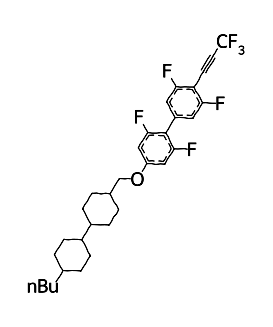 CCCCC1CCC(C2CCC(COc3cc(F)c(-c4cc(F)c(C#CC(F)(F)F)c(F)c4)c(F)c3)CC2)CC1